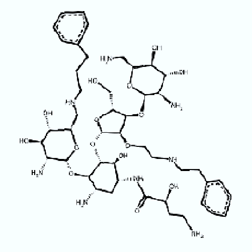 NCC[C@H](O)C(=O)N[C@@H]1C[C@H](N)[C@@H](O[C@H]2O[C@H](CNCCCc3ccccc3)[C@@H](O)[C@H](O)[C@H]2N)[C@H](O[C@@H]2O[C@H](CO)[C@@H](O[C@H]3O[C@@H](CN)[C@@H](O)[C@H](O)[C@H]3N)[C@H]2OCCNCCc2ccccc2)[C@H]1O